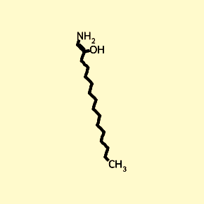 CCCCCCCCCCCCCCC(O)=CN